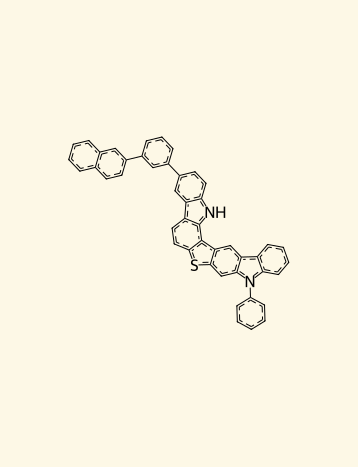 c1ccc(-n2c3ccccc3c3cc4c(cc32)sc2ccc3c5cc(-c6cccc(-c7ccc8ccccc8c7)c6)ccc5[nH]c3c24)cc1